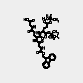 CC(C)(C)OC(=O)CCC(NC(=O)C(CCC(=O)NCC(=O)O)NC(=O)CNC(=O)OCC1c2ccccc2-c2ccccc21)C(=O)OC(C)(C)C